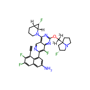 [2H]C([2H])(Oc1nc(N2CCC[C@@H]3[C@H](F)[C@@H]32)c2cnc(-c3cc(N)cc4cc(F)c(F)c(C#C)c34)c(F)c2n1)[C@@]12CCCN1C[C@H](F)C2